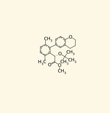 COC(=O)[C@@H](OC(C)(C)C)c1c(C)ccc(C)c1-c1ccc2c(c1)CCCO2